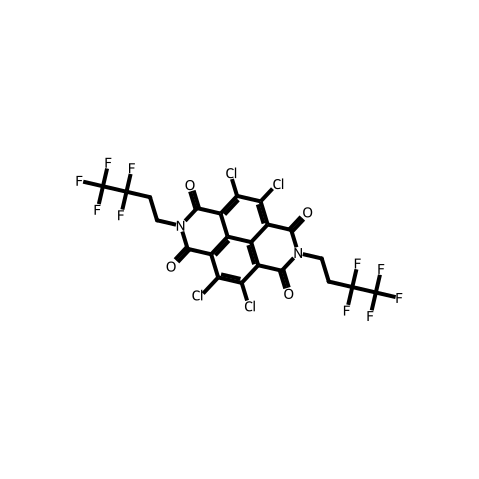 O=C1c2c(Cl)c(Cl)c3c4c(c(Cl)c(Cl)c(c24)C(=O)N1CCC(F)(F)C(F)(F)F)C(=O)N(CCC(F)(F)C(F)(F)F)C3=O